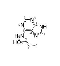 C/C=C/O.Nc1ncnc2[nH]cnc12